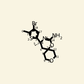 Cc1sc([C@]2(C)CC3(CCOCC3)OC(N)=N2)cc1Br